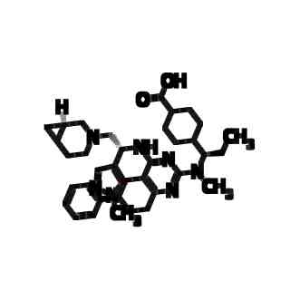 CC[C@H](C1CCC(C(=O)O)CC1)N(C)c1nc2c(c(N[C@@H](CN3CCC4C[C@H]4C3)c3cnn(C)c3)n1)C[C@H](c1ccccc1)CC2